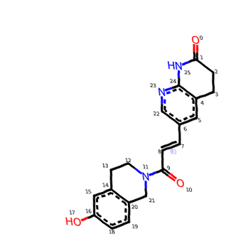 O=C1CCc2cc(/C=C/C(=O)N3CCc4cc(O)ccc4C3)cnc2N1